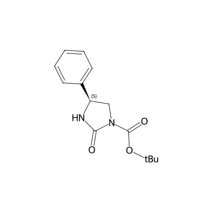 CC(C)(C)OC(=O)N1C[C@H](c2ccccc2)NC1=O